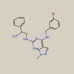 Cn1ncc2c(NCc3cccc(Br)c3)nc(NCC(N)c3ccccc3)nc21